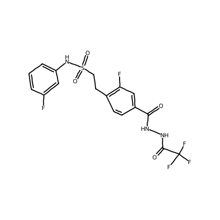 O=C(NNC(=O)C(F)(F)F)c1ccc(CCS(=O)(=O)Nc2cccc(F)c2)c(F)c1